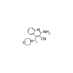 CC(c1c(C#N)c(N)nc2ccccc12)N1CCOCC1